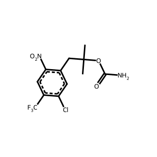 CC(C)(Cc1cc(Cl)c(C(F)(F)F)cc1[N+](=O)[O-])OC(N)=O